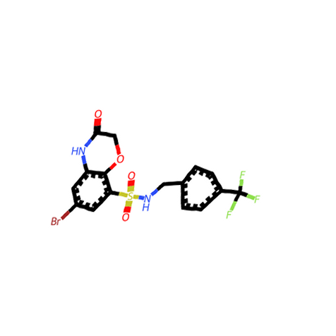 O=C1COc2c(cc(Br)cc2S(=O)(=O)NCc2ccc(C(F)(F)F)cc2)N1